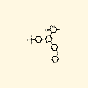 CC(C)CC(C(=O)O)c1cc(-c2ccc(Oc3ccccc3)cc2)nc(-c2ccc(C(F)(F)F)cc2)c1